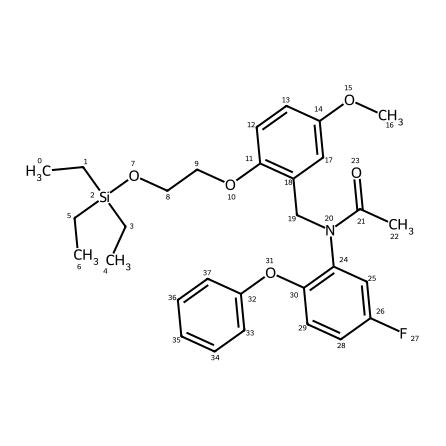 CC[Si](CC)(CC)OCCOc1ccc(OC)cc1CN(C(C)=O)c1cc(F)ccc1Oc1ccccc1